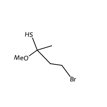 COC(C)(S)CCBr